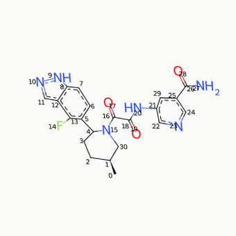 C[C@H]1CCC(c2ccc3[nH]ncc3c2F)N(C(=O)C(=O)Nc2cncc(C(N)=O)c2)C1